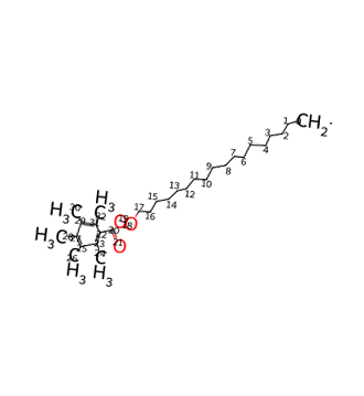 [CH2]CCCCCCCCCCCCCCCCCOOC(=O)c1c(C)c(C)c(C)c(C)c1C